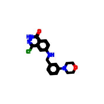 O=c1[nH]nc(Cl)c2cc(NCc3cccc(N4CCOCC4)c3)ccc12